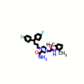 Cc1cccc(C)c1NC(=O)CN1CCN(CCCC(c2ccc(F)cc2)c2ccc(F)cc2)C(C(N)=O)C1